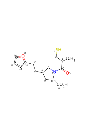 CC(CS)C(=O)N1CC(CCc2ccco2)C[C@H]1C(=O)O